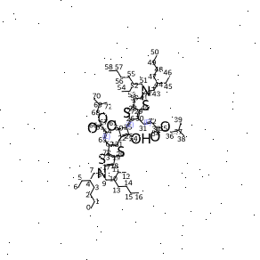 CCCCC(CC)CN(CC(CC)CCCC)c1cc2sc(C3=C(O)/C(=c4/sc5c(c4/C=C/C(=O)OCC(C)C)SC(=[N+](CC(CC)CCCC)CC(CC)CCCC)C=5)C3=O)c(/C=C/C(=O)OCC(C)C)c2s1